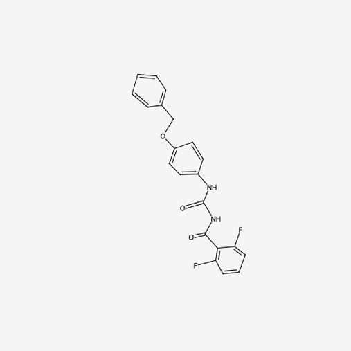 O=C(NC(=O)c1c(F)cccc1F)Nc1ccc(OCc2ccccc2)cc1